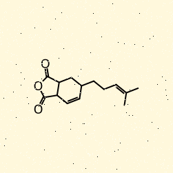 CC(C)=CCCC1C=CC2C(=O)OC(=O)C2C1